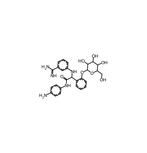 N=C(N)c1cccc(NC(C(=O)Nc2ccc(N)cc2)c2ccccc2OC2OC(CO)C(O)C(O)C2O)c1